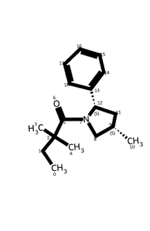 CCC(C)(C)C(=O)N1C[C@@H](C)C[C@H]1c1ccccc1